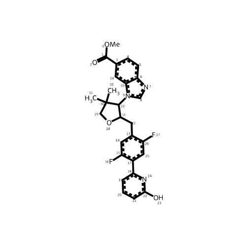 COC(=O)c1ccc2ncn(C3C(Cc4cc(F)c(-c5cccc(O)n5)cc4F)OCC3(C)C)c2c1